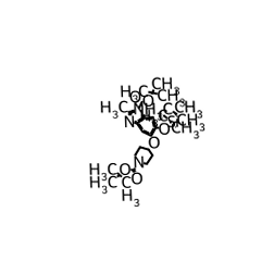 Cc1nc2cc(OC3CCN(C(=O)OC(C)(C)C)CC3)c(O[Si](C)(C)C(C)(C)C)cc2n1C(=O)OC(C)(C)C